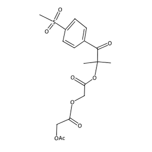 CC(=O)OCC(=O)OCC(=O)OC(C)(C)C(=O)c1ccc(S(C)(=O)=O)cc1